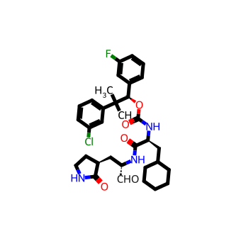 CC(C)(c1cccc(Cl)c1)[C@H](OC(=O)N[C@@H](CC1CCCCC1)C(=O)N[C@H](C=O)C[C@@H]1CCNC1=O)c1cccc(F)c1